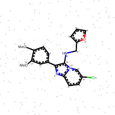 COc1ccc(-c2nc3ccc(Cl)cn3c2NCc2ccco2)cc1OC